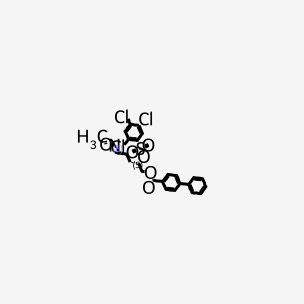 CO/N=C/CC[C@@H](COC(=O)c1ccc(-c2ccccc2)cc1)OS(=O)(=O)c1cc(Cl)c(Cl)cc1Cl